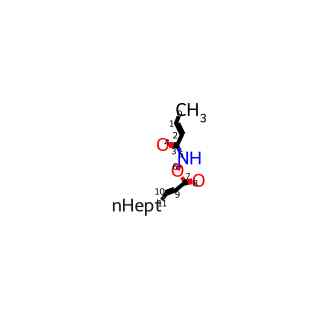 CC=CC(=O)NOC(=O)C=CCCCCCCC